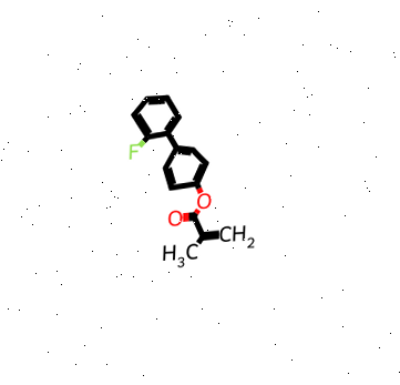 C=C(C)C(=O)Oc1ccc(-c2ccccc2F)cc1